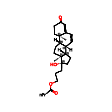 CCCC(=O)OCCC[C@]1(O)CC[C@H]2[C@@H]3C=CC4=CC(=O)CC[C@]4(C)[C@H]3CC[C@@]21C